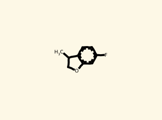 CC1COc2cc(F)ccc21